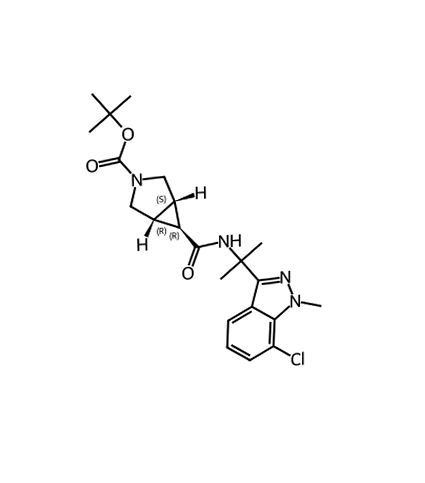 Cn1nc(C(C)(C)NC(=O)[C@H]2[C@@H]3CN(C(=O)OC(C)(C)C)C[C@@H]32)c2cccc(Cl)c21